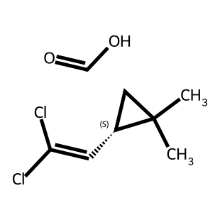 CC1(C)C[C@H]1C=C(Cl)Cl.O=CO